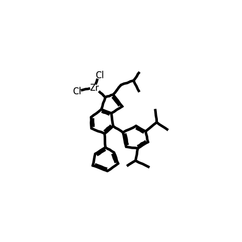 CC(C)CC1=Cc2c(ccc(-c3ccccc3)c2-c2cc(C(C)C)cc(C(C)C)c2)[CH]1[Zr]([Cl])[Cl]